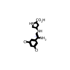 N/C(=C\NC1CNC(C(=O)O)C1)c1cc(Cl)cc(Cl)c1